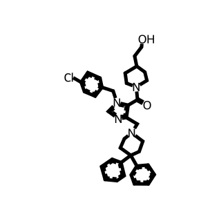 O=C(c1c(CN2CCC(c3ccccc3)(c3ccccc3)CC2)ncn1Cc1ccc(Cl)cc1)N1CCC(CCO)CC1